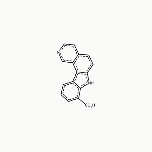 O=C(O)c1cccc2c1[nH]c1ccc3ccncc3c12